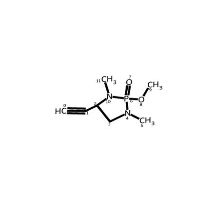 C#CC1CN(C)P(=O)(OC)N1C